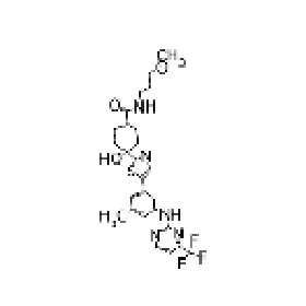 COCCCNC(=O)C1CCC(O)(c2ncc(-c3cc(C)cc(Nc4nccc(C(F)(F)F)n4)c3)s2)CC1